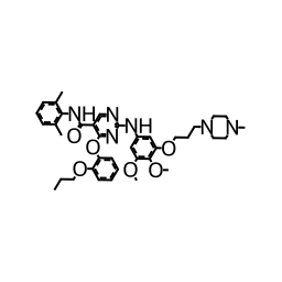 CCCOc1ccccc1Oc1nc(Nc2cc(OC)c(OC)c(OCCCN3CCN(C)CC3)c2)ncc1C(=O)Nc1c(C)cccc1C